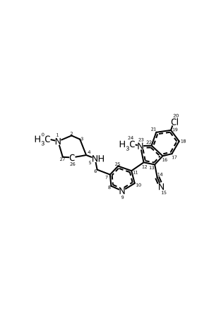 CN1CCC(NCc2cncc(-c3c(C#N)c4ccc(Cl)cc4n3C)c2)CC1